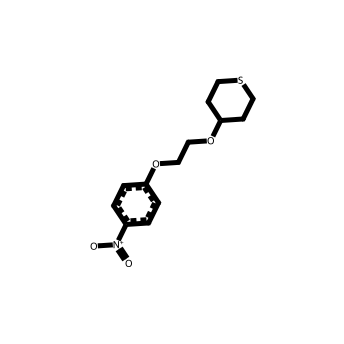 O=[N+]([O-])c1ccc(OCCOC2CCSCC2)cc1